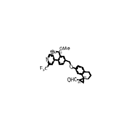 CO[C@H](c1cc(COc2ccc3c(c2)[C@]2(CCC3)C[C@H]2C=O)ccc1-c1ccnc(C(F)(F)F)c1)C(C)(C)C